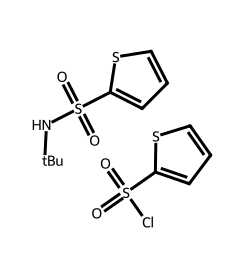 CC(C)(C)NS(=O)(=O)c1cccs1.O=S(=O)(Cl)c1cccs1